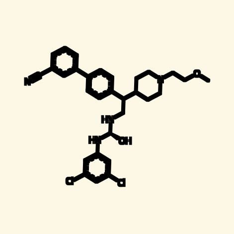 COCCN1CCC(C(CN[C@@H](O)Nc2cc(Cl)cc(Cl)c2)c2ccc(-c3cccc(C#N)c3)cc2)CC1